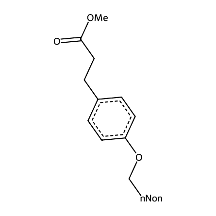 CCCCCCCCCCOc1ccc(CCC(=O)OC)cc1